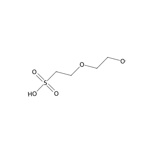 [O]CCOCCS(=O)(=O)O